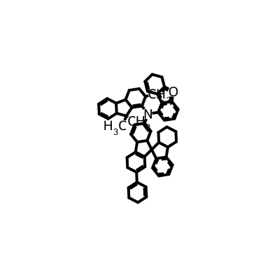 CC1CCC2C(=C1N(C1=CC3C(C=C1)C1=C(C=C(C4=CCCC=C4)CC1)C31c3ccccc3C3CCCCC31)c1cccc3oc4c(c13)C=CCC4)C(C)(C)C1C=CC=CC21